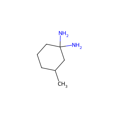 CC1CCCC(N)(N)C1